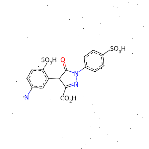 [N]c1ccc(S(=O)(=O)O)c(C2C(=O)N(c3ccc(S(=O)(=O)O)cc3)N=C2C(=O)O)c1